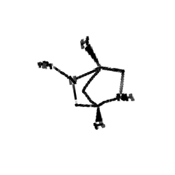 CCCN1C[C@@H]2C[C@H]1CN2